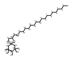 CCCCCCCCCCCCCCCCCCOCC1COC2(CC(C)(C)N(C)C(C)(C)C2)O1